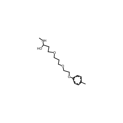 CNC(O)CCOCCCOCCOc1ccc(C)cc1